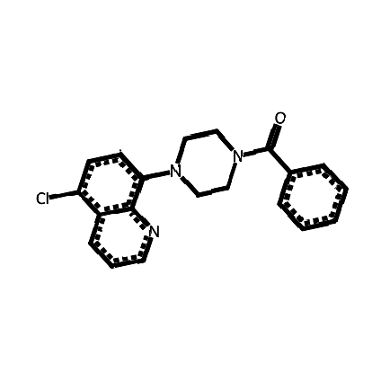 O=C(c1ccccc1)N1CCN(c2[c]cc(Cl)c3cccnc23)CC1